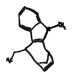 CCC1c2c(n(C)c3ccccc23)C2C=CC1C2